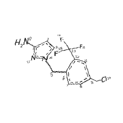 Nc1ccn(Cc2ccc(Cl)cc2C(F)(F)F)n1